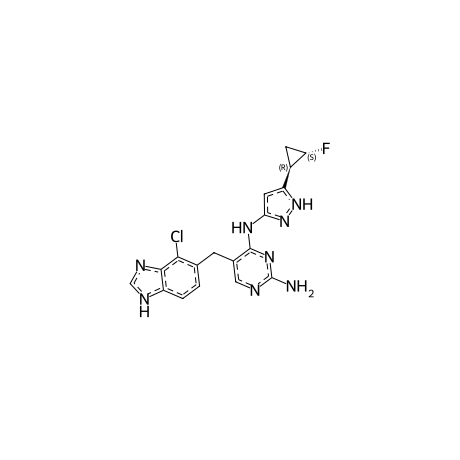 Nc1ncc(Cc2ccc3[nH]cnc3c2Cl)c(Nc2cc([C@H]3C[C@@H]3F)[nH]n2)n1